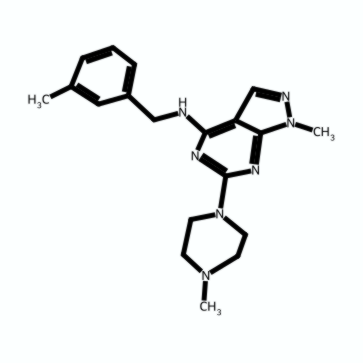 Cc1cccc(CNc2nc(N3CCN(C)CC3)nc3c2cnn3C)c1